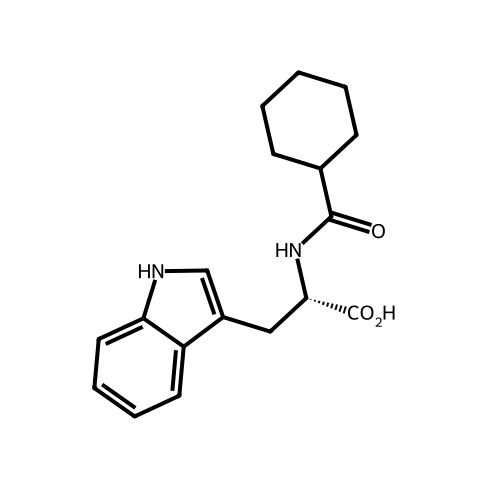 O=C(N[C@@H](Cc1c[nH]c2ccccc12)C(=O)O)C1CCCCC1